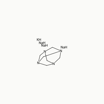 C1N2CN3CN1CN(C2)C3.[KH].[NaH].[NaH].[NaH]